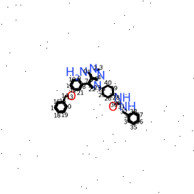 Nc1ncnc2c1c(-c1cccc(OCc3ccccc3)c1)cn2[C@H]1CC[C@@H](NC(=O)NCc2ccccc2)CC1